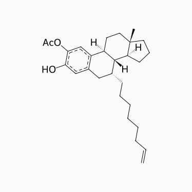 C=CCCCCCC[C@@H]1Cc2cc(O)c(OC(C)=O)cc2[C@H]2CC[C@]3(C)CCC[C@H]3[C@H]12